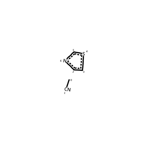 CC#N.c1cscn1